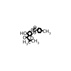 Cc1ccc(S(=O)(=O)Oc2cc(O)c3c(c2)OC(C)(C)CC3=O)cc1